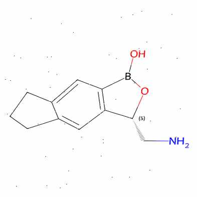 NC[C@H]1OB(O)c2cc3c(cc21)CCC3